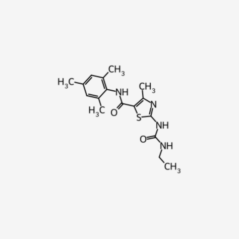 CCNC(=O)Nc1nc(C)c(C(=O)Nc2c(C)cc(C)cc2C)s1